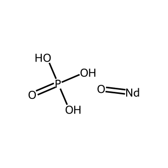 O=P(O)(O)O.[O]=[Nd]